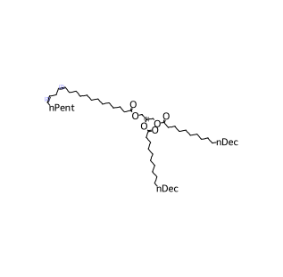 CCCCC/C=C\C/C=C\CCCCCCCCCCCC(=O)OC[C@@H](COC(=O)CCCCCCCCCCCCCCCCCCC)OC(=O)CCCCCCCCCCCCCCCCCCC